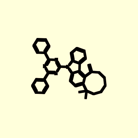 C=C1CCCCCC(C)(C)c2ccc3c(c21)c1ccccc1n3-c1nc(-c2ccccc2)nc(-c2ccccc2)n1